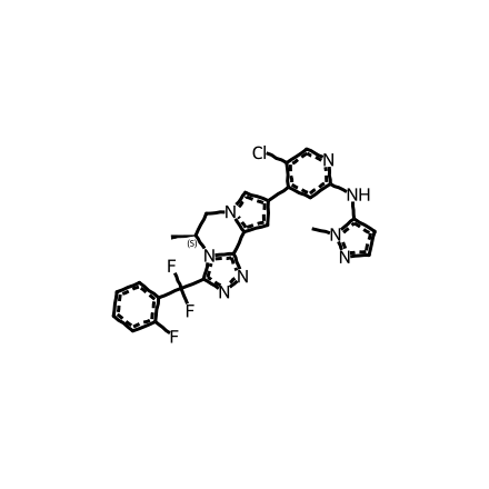 C[C@H]1Cn2cc(-c3cc(Nc4ccnn4C)ncc3Cl)cc2-c2nnc(C(F)(F)c3ccccc3F)n21